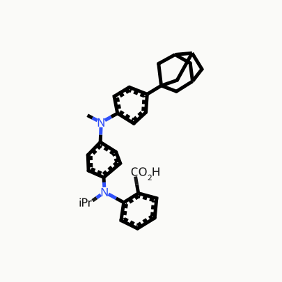 CC(C)N(c1ccc(N(C)c2ccc(C34CC5CC(C3)C(C5)C4)cc2)cc1)c1ccccc1C(=O)O